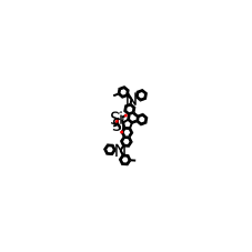 Cc1cccc(N(c2ccccc2)c2ccc3cc4c(cc3c2)C([Si](C)(C)C)([Si](C)(C)C)c2c-4c3ccccc3c3cc(N(c4ccccc4)c4cccc(C)c4)ccc23)c1